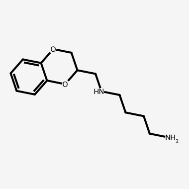 NCCCCNCC1COc2ccccc2O1